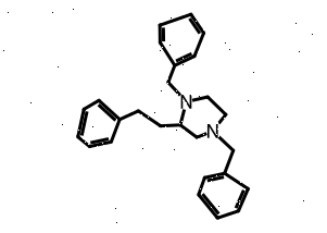 c1ccc(CCC2CN(Cc3ccccc3)CCN2Cc2ccccc2)cc1